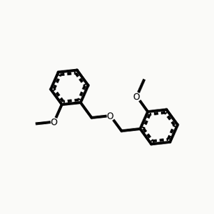 COc1ccccc1COCc1ccccc1OC